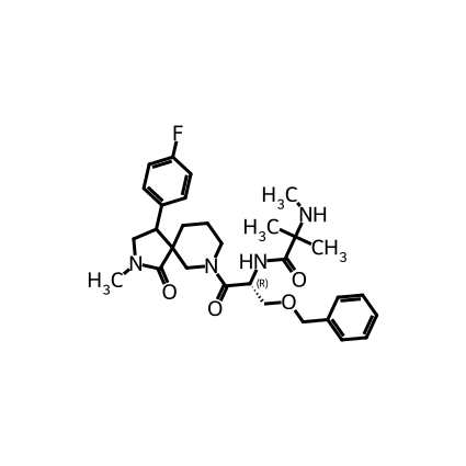 CNC(C)(C)C(=O)N[C@H](COCc1ccccc1)C(=O)N1CCCC2(C1)C(=O)N(C)CC2c1ccc(F)cc1